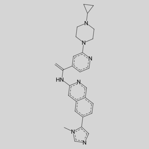 C=C(Nc1cc2cc(-c3cncn3C)ccc2cn1)c1ccnc(N2CCN(C3CC3)CC2)c1